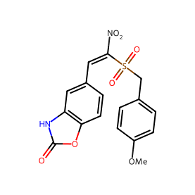 COc1ccc(CS(=O)(=O)C(=Cc2ccc3oc(=O)[nH]c3c2)[N+](=O)[O-])cc1